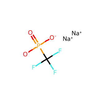 O=P([O-])([O-])C(F)(F)F.[Na+].[Na+]